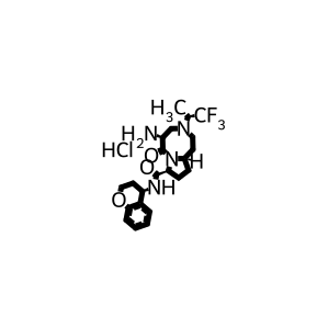 C[C@H](N1CC[C@H]2CC[C@@H](C(=O)N[C@@H]3CCOc4ccccc43)N2C(=O)[C@@H](N)C1)C(F)(F)F.Cl